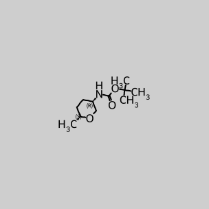 C[C@H]1CC[C@@H](NC(=O)OC(C)(C)C)CO1